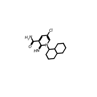 N=c1c(C(N)=O)cc(Cl)cn1C1CCCC2CCCCC21